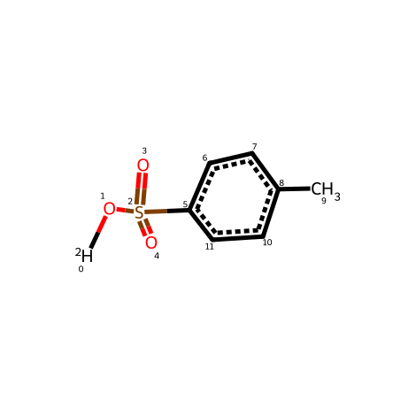 [2H]OS(=O)(=O)c1ccc(C)cc1